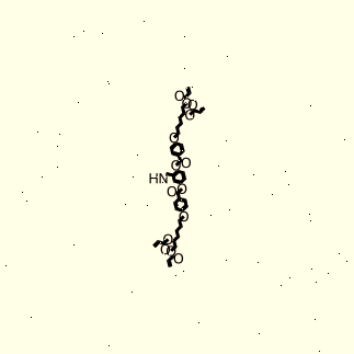 C=CC(=O)OCC(CCCCOc1ccc(C(=O)Oc2ccc(OC(=O)c3ccc(OCCCCC(COC(=O)C=C)OC(=O)C=C)cc3)c(C=N)c2)cc1)OC(=O)C=C